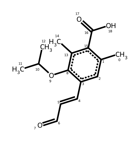 Cc1cc(C=CC=O)c(OC(C)C)c(C)c1C(=O)O